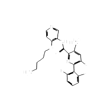 Cl.NCCCCOc1ccncc1NC(=O)c1nc(-c2c(F)cccc2F)c(F)cc1N